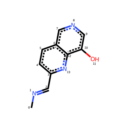 C/N=C/c1ccc2cncc(O)c2n1